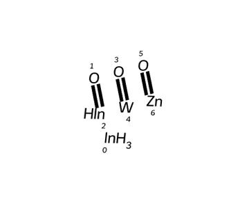 [InH3].[O]=[InH].[O]=[W].[O]=[Zn]